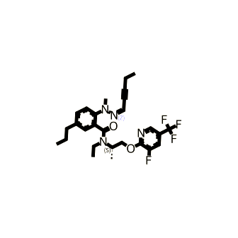 CCC#C/C=N\N(C)c1ccc(CCC)cc1C(=O)N(CC)[C@@H](C)COc1ncc(C(F)(F)F)cc1F